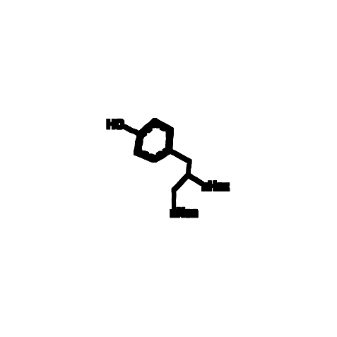 CCCCCCCCCCC(CCCCCC)Cc1ccc(O)cc1